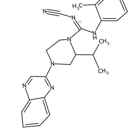 Cc1ccccc1N/C(=N/C#N)N1CCN(c2cnc3ccccc3n2)CC1C(C)C